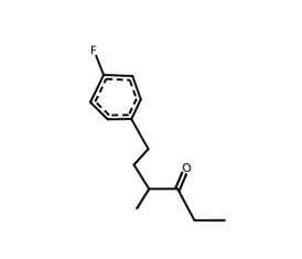 CCC(=O)C(C)CCc1ccc(F)cc1